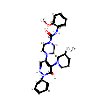 CCOC(=O)C1CCCN(c2c(N3CCN(C(=O)Nc4ccccc4OCC)CC3)cnn(-c3ccccc3)c2=O)C1